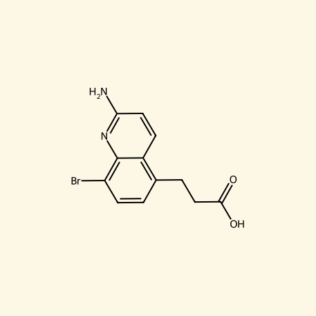 Nc1ccc2c(CCC(=O)O)ccc(Br)c2n1